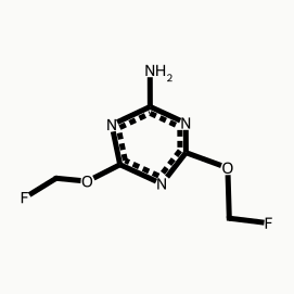 Nc1nc(OCF)nc(OCF)n1